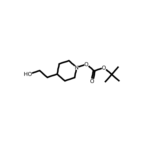 CC(C)(C)OC(=O)ON1CCC(CCO)CC1